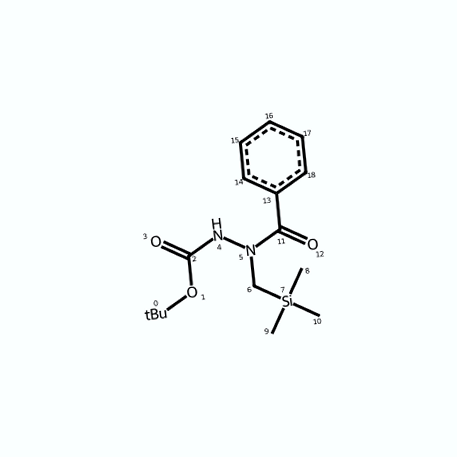 CC(C)(C)OC(=O)NN(C[Si](C)(C)C)C(=O)c1ccccc1